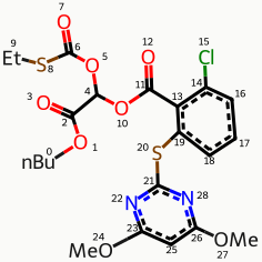 CCCCOC(=O)C(OC(=O)SCC)OC(=O)c1c(Cl)cccc1Sc1nc(OC)cc(OC)n1